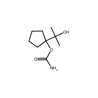 CC(C)(O)C1(OC(N)=O)CCCC1